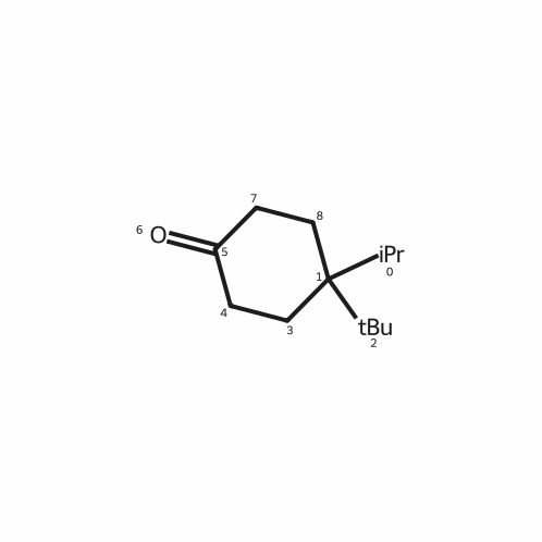 CC(C)C1(C(C)(C)C)CCC(=O)CC1